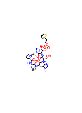 CC(=O)N1CCC[C@H]1C(=O)N[C@@H](CC(C)C)C(=O)N[C@@H](Cc1cnc[nH]1)C(=O)N[C@@H](CO)C(=O)N[C@H](C(N)=O)[C@@H](C)OP(=O)(O)OCCc1cccs1